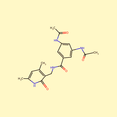 CC(=O)Nc1cc(NC(C)=O)cc(C(=O)NCc2c(C)cc(C)[nH]c2=O)c1